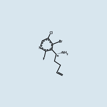 C=CCC[C@@H](N)c1c(F)ncc(Cl)c1Br